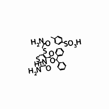 Cc1ccc(S(=O)(=O)O)cc1.NC(=O)CSC1=C(C(=O)OC(c2ccccc2)c2ccccc2)N2C(=O)[C@@H](N)[C@@H]2SC1